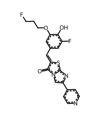 O=c1/c(=C/c2cc(F)c(O)c(OCCCF)c2)sc2nc(-c3ccncc3)cn12